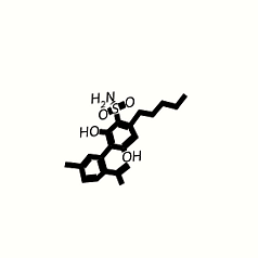 C=C(C)c1ccc(C)cc1-c1c(O)cc(CCCCC)c(S(N)(=O)=O)c1O